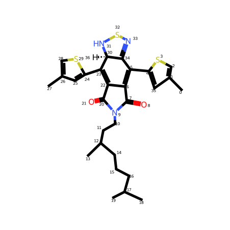 Cc1csc(C2=C3C(=O)N(CCC(C)CCCC(C)C)C(=O)C3=C(c3cc(C)cs3)[C@H]3NSN=C23)c1